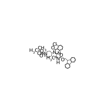 C[C@H](NC(=O)OCC1c2ccccc2-c2ccccc21)c1nc2cccc(Cl)c2c(=O)n1C1CCCN(C(=O)OC(C)(C)C)CC1